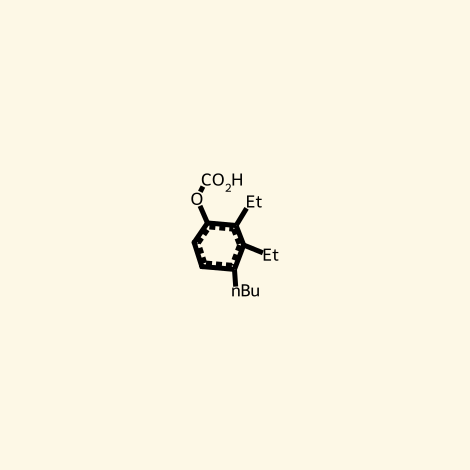 CCCCc1ccc(OC(=O)O)c(CC)c1CC